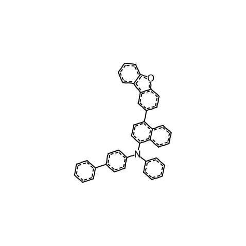 c1ccc(-c2ccc(N(c3ccccc3)c3ccc(-c4ccc5oc6ccccc6c5c4)c4ccccc34)cc2)cc1